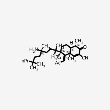 CCCC(C)(C)CC[C@](C)(N)CCC(C)(C)[C@]1(C)CC[C@H]2[C@H](C)C(=O)C(C#N)=C[C@]2(C)/C1=C/C(C)=O